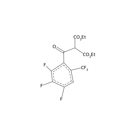 CCOC(=O)C(C(=O)OCC)C(=O)c1c(C(F)(F)F)cc(F)c(F)c1F